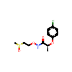 C[C@H](Oc1ccc(Cl)cc1)C(=O)NOCC[S+](C)[O-]